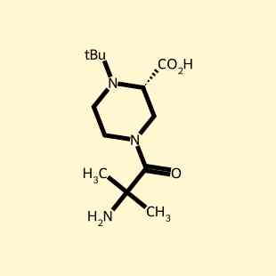 CC(C)(N)C(=O)N1CCN(C(C)(C)C)[C@H](C(=O)O)C1